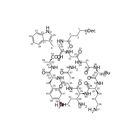 CCCCCCCCCCCCCC(=O)N[C@@H](Cc1c[nH]c2ccccc12)C(=O)NCC(=O)NCC(=O)N[C@H](C(=O)N[C@@H](CCCN)C(=O)N[C@H](C(=O)N[C@@H](CC(N)=O)C(=O)N[C@@H](Cc1ccc(O)cc1)C(=O)N[C@@H](C)C(=O)O)C(N)CCN)[C@@H](C)CC